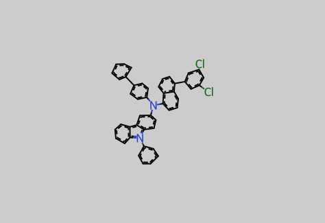 Clc1cc(Cl)cc(-c2cccc3c(N(c4ccc(-c5ccccc5)cc4)c4ccc5c(c4)c4ccccc4n5-c4ccccc4)cccc23)c1